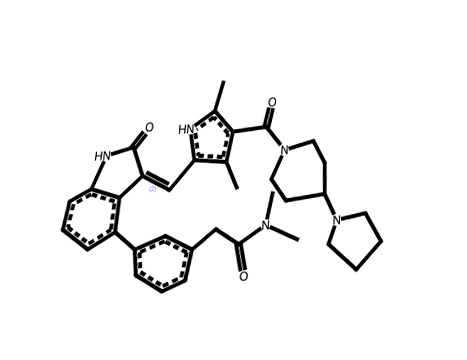 Cc1[nH]c(/C=C2\C(=O)Nc3cccc(-c4cccc(CC(=O)N(C)C)c4)c32)c(C)c1C(=O)N1CCC(N2CCCC2)CC1